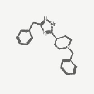 c1ccc(Cc2n[nH]c(C3CCN(Cc4ccccc4)CC3)n2)cc1